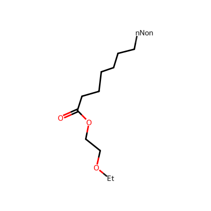 CCCCCCCCCCCCCCCC(=O)OCCOCC